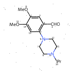 COc1cc(C=O)c(N2CCN(C(C)C)CC2)cc1OC